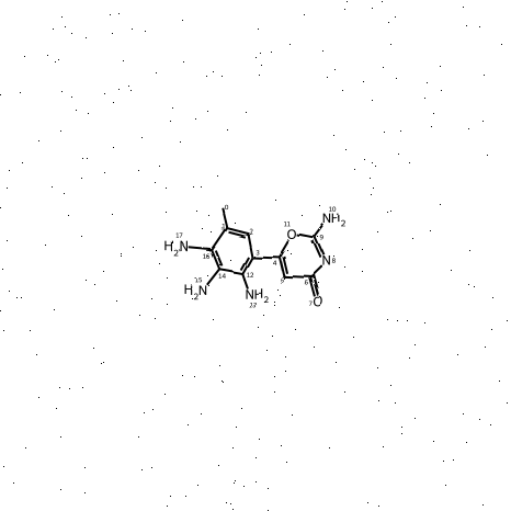 Cc1cc(-c2cc(=O)nc(N)o2)c(N)c(N)c1N